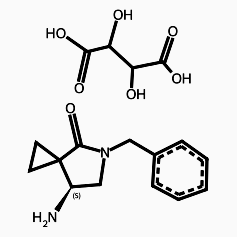 N[C@@H]1CN(Cc2ccccc2)C(=O)C12CC2.O=C(O)C(O)C(O)C(=O)O